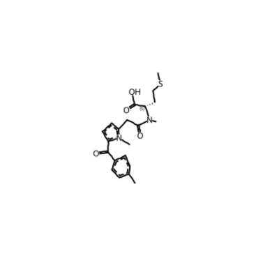 CSCC[C@@H](C(=O)O)N(C)C(=O)Cc1ccc(C(=O)c2ccc(C)cc2)n1C